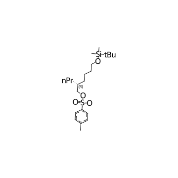 CCC[C@H](CCCCO[Si](C)(C)C(C)(C)C)COS(=O)(=O)c1ccc(C)cc1